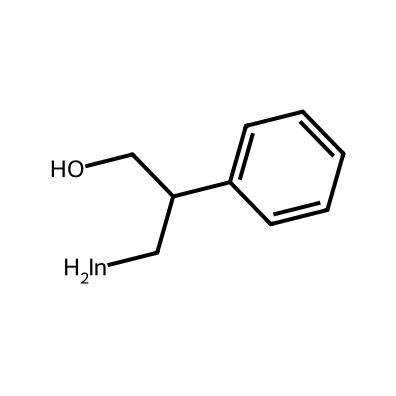 OCC([CH2][InH2])c1ccccc1